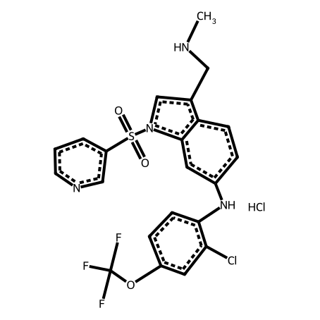 CNCc1cn(S(=O)(=O)c2cccnc2)c2cc(Nc3ccc(OC(F)(F)F)cc3Cl)ccc12.Cl